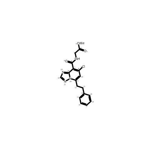 COC(=O)CNC(=O)c1c(Cl)cc(CCc2ccccc2)n2ncnc12